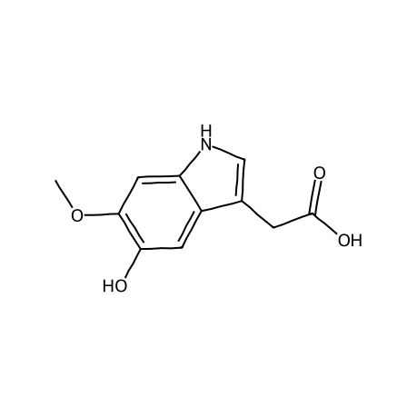 COc1cc2[nH]cc(CC(=O)O)c2cc1O